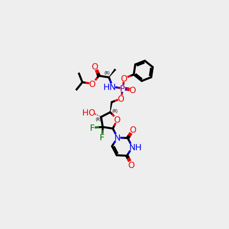 CC(C)OC(=O)[C@@H](C)NP(=O)(OC[C@H]1OC(n2ccc(=O)[nH]c2=O)C(F)(F)[C@@H]1O)Oc1ccccc1